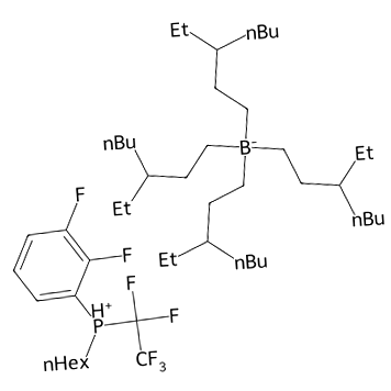 CCCCC(CC)CC[B-](CCC(CC)CCCC)(CCC(CC)CCCC)CCC(CC)CCCC.CCCCCC[PH+](c1cccc(F)c1F)C(F)(F)C(F)(F)F